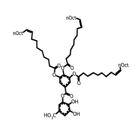 CCCCCCCC/C=C\CCCCCCCC(=O)Oc1cc(C(=O)Oc2cc(C(=O)O)cc(O)c2O)cc(OC(=O)CCCCCCC/C=C\CCCCCCCC)c1OC(=O)CCCCCCC/C=C\CCCCCCCC